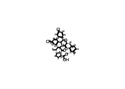 CCCC(C(=O)N1CCC[C@H]1C(=O)O)N1C(=O)[C@@H](Cc2ccc(F)cc2)O[C@H](c2ccc(Cl)cc2)[C@@H]1c1ccc(Cl)cc1